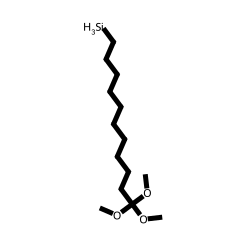 COC(CCCCCCCCCC[SiH3])(OC)OC